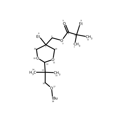 CCC1(COC(=O)C(C)(C)CC)COC(C(C)(C)COC(C)(C)C)OC1